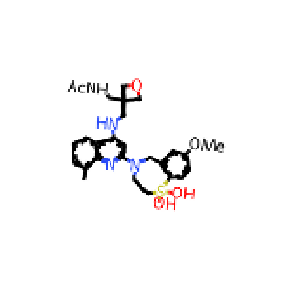 COc1ccc2c(c1)CN(c1cc(NCC3(CNC(C)=O)COC3)c3cccc(C)c3n1)CCS2(O)O